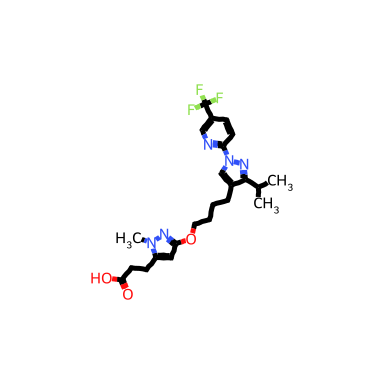 CC(C)c1nn(-c2ccc(C(F)(F)F)cn2)cc1CCCCOc1cc(CCC(=O)O)n(C)n1